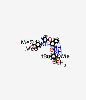 COC(=O)c1ccc(Nc2cc(Oc3ccc(NC(=O)Nc4cc(C(C)(C)C)cc(S(C)(=O)=O)c4OC)c4ccccc34)ccn2)cc1OC